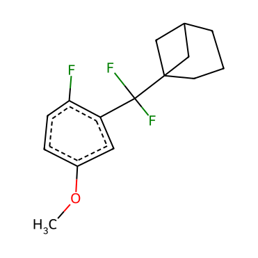 COc1ccc(F)c(C(F)(F)C23CCCC(C2)C3)c1